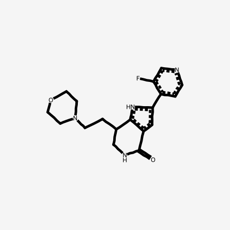 O=C1NCC(CCN2CCOCC2)c2[nH]c(-c3ccncc3F)cc21